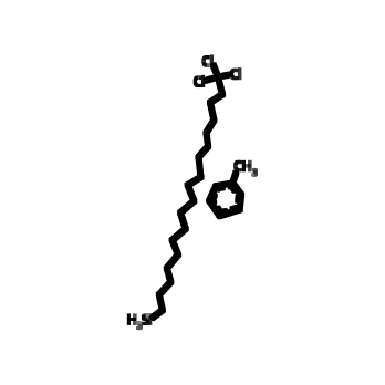 Cc1ccccc1.[SiH3]CCCCCCCCCCCCCCCCCC(Cl)(Cl)Cl